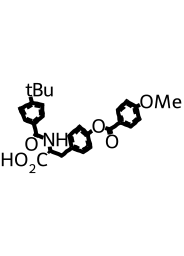 COc1ccc(C(=O)Oc2ccc(C[C@H](NC(=O)c3ccc(C(C)(C)C)cc3)C(=O)O)cc2)cc1